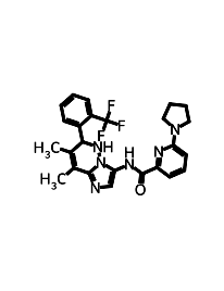 CC1=C(C)C(c2ccccc2C(F)(F)F)Nn2c(NC(=O)c3cccc(N4CCCC4)n3)cnc21